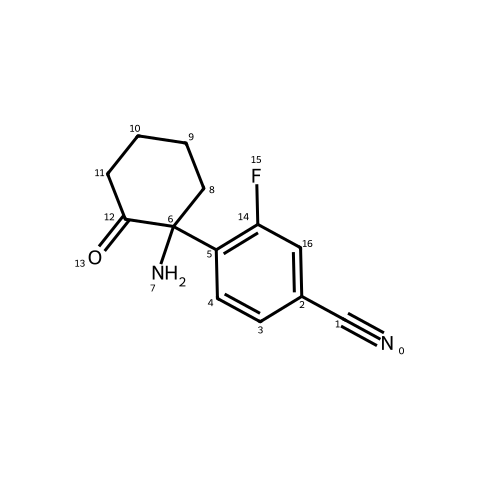 N#Cc1ccc(C2(N)CCCCC2=O)c(F)c1